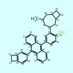 CC1CC(c2cc(-c3c4ccccc4c(-c4ccc5c(c4)CC5)c4ccccc34)ccc2S)CC2CCC2C1